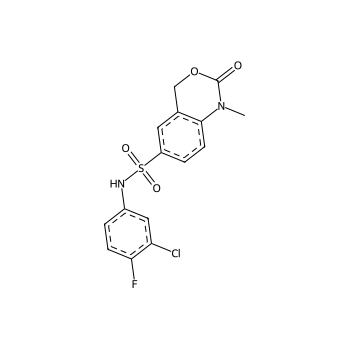 CN1C(=O)OCc2cc(S(=O)(=O)Nc3ccc(F)c(Cl)c3)ccc21